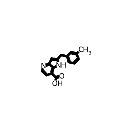 Cc1cccc(Cc2cc3nccc(C(=O)O)c3[nH]2)c1